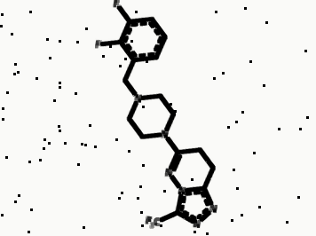 Fc1cccc(CN2CCN(C3=Nn4c(nnc4C(F)(F)F)CC3)CC2)c1F